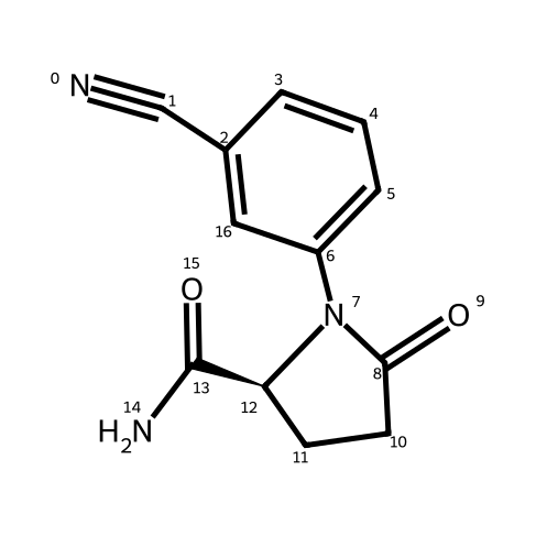 N#Cc1cccc(N2C(=O)CC[C@H]2C(N)=O)c1